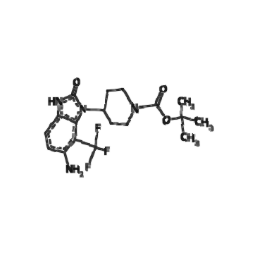 CC(C)(C)OC(=O)N1CCC(n2c(=O)[nH]c3ccc(N)c(C(F)(F)F)c32)CC1